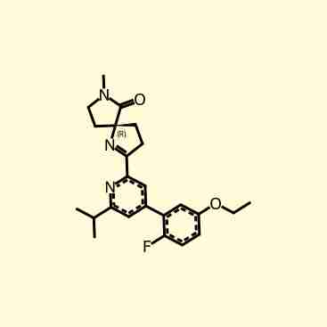 CCOc1ccc(F)c(-c2cc(C3=N[C@]4(CC3)CCN(C)C4=O)nc(C(C)C)c2)c1